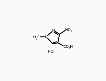 Cl.Cn1cc(C(=O)O)c([N+](=O)[O-])n1